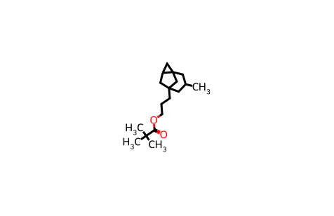 CC1CC2(CCCOC(=O)C(C)(C)C)CC3CC3(C1)C2